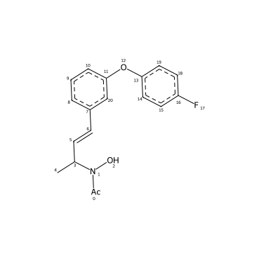 CC(=O)N(O)C(C)/C=C/c1cccc(Oc2ccc(F)cc2)c1